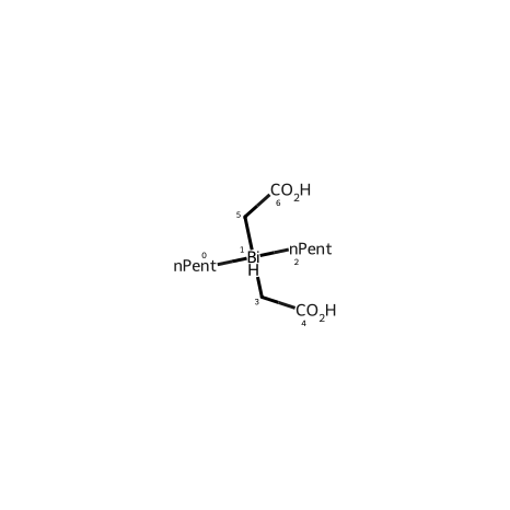 CCCC[CH2][BiH]([CH2]CCCC)([CH2]C(=O)O)[CH2]C(=O)O